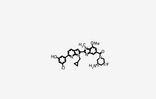 COc1cc(C(=O)N2C[C@H](N)C[C@@H](F)C2)cc2nc(-c3cc4ccc(-c5cc(O)cc(Cl)c5)nc4n3CC3CC3)n(C)c12